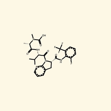 CC(C)[C@H](NC(=O)[C@H](C)N(C)C(=O)O)C(=O)N1c2ncccc2C[C@H]1C(=O)Nc1c(F)cccc1C(F)(F)F